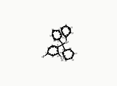 Fc1ccc(C(Sc2ccccc2)(c2ccccc2)c2ccccc2)c(Cl)c1